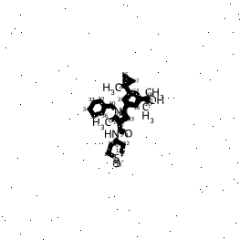 Cc1c(C(=O)NC2CC[S+]([O-])CC2)cc(-c2cc(C(C)(C)O)cc(C3(C)CC3)c2)n1CC1CCCCC1